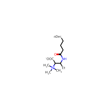 CCCCCCCCCCCCCC(=O)NC(CC)C(C(=O)[O-])[N+](C)(C)C